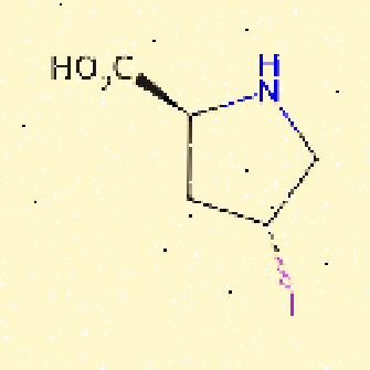 O=C(O)[C@@H]1C[C@@H](I)CN1